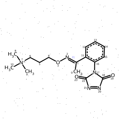 C/C(=N\OCCC[N+](C)(C)C)c1ccccc1N1C(=O)N=NC1=O